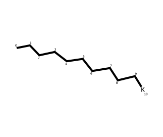 CCCCCCCCC[CH2][K]